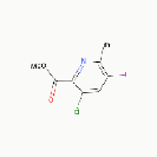 COC(=O)c1nc(C(C)C)c(I)cc1Cl